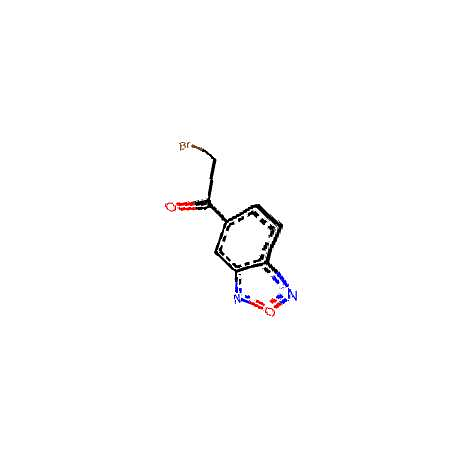 O=C(CBr)c1ccc2nonc2c1